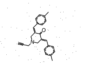 C#CCN1CC(=Cc2ccc(C)cc2)C(=O)C(=Cc2ccc(C)cc2)C1